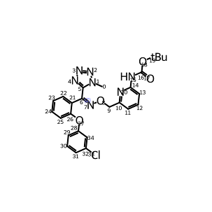 Cn1nnnc1/C(=N\OCc1cccc(NC(=O)OC(C)(C)C)n1)c1ccccc1Oc1cccc(Cl)c1